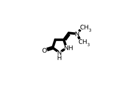 CN(C)C=C1CC(=O)NN1